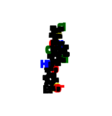 CC[S+]([O-])c1ccc(CC(=O)Nc2cc(Cl)c(C3(c4noc(-c5ccc(Cl)s5)n4)CC3)c(Cl)c2)cc1